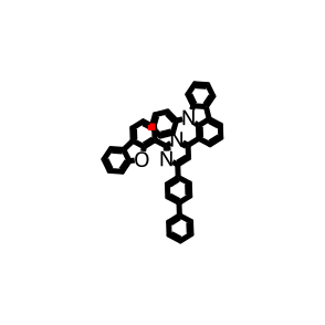 c1ccc(-c2ccc(-c3cc(-c4cccc5c6ccccc6n(-c6ccccc6)c45)nc(-c4cccc5c4oc4ccccc45)n3)cc2)cc1